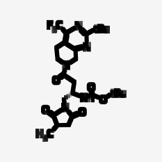 CC1CC(=O)N(C[C@H](CC(=O)N2CCc3c(nc(C(C)(C)C)nc3C(F)(F)F)C2)NC(=O)OC(C)(C)C)C1=O